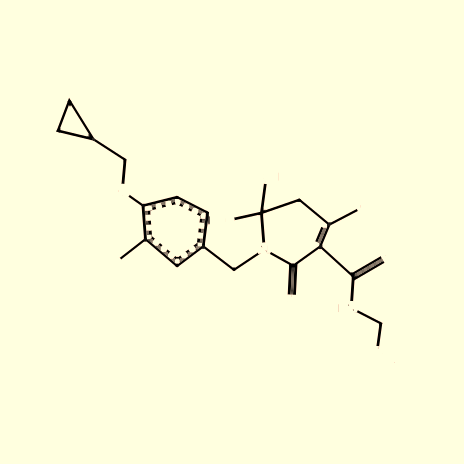 CC1(C)CC(O)=C(C(=O)NCC(=O)O)C(=O)N1Cc1ccc(OCC2CC2)c(F)c1